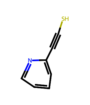 SC#Cc1ccccn1